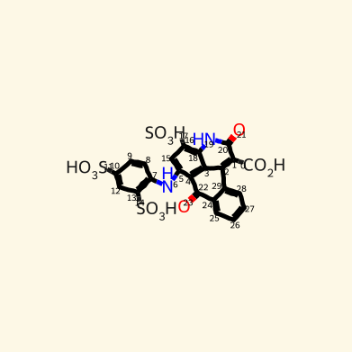 O=C(O)c1c2c3c(c(Nc4ccc(S(=O)(=O)O)cc4S(=O)(=O)O)cc(S(=O)(=O)O)c3[nH]c1=O)C(=O)c1ccccc1-2